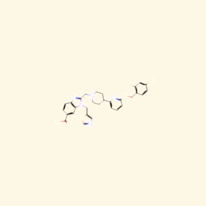 O=C(O)c1ccc2nc(CN3CCC(c4cccc(OCc5ccc(Cl)cc5F)n4)CC3)n(Cc3cnco3)c2c1